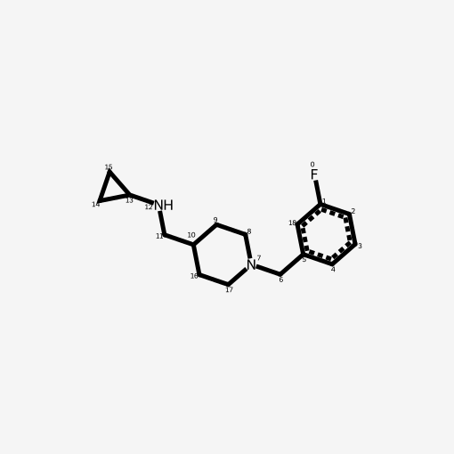 Fc1cccc(CN2CCC(CNC3CC3)CC2)c1